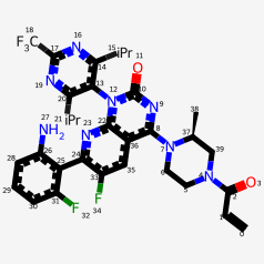 C=CC(=O)N1CCN(c2nc(=O)n(-c3c(C(C)C)nc(C(F)(F)F)nc3C(C)C)c3nc(-c4c(N)cccc4F)c(F)cc23)[C@@H](C)C1